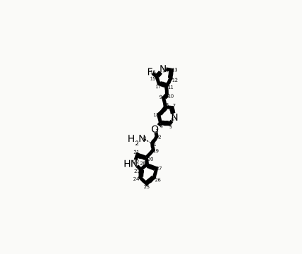 N[C@H](COc1cncc(/C=C/c2ccnc(F)c2)c1)Cc1c[nH]c2ccccc12